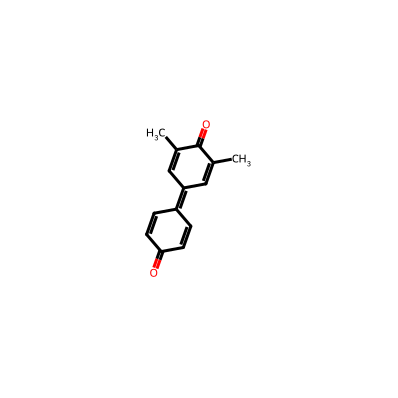 CC1=CC(=C2C=CC(=O)C=C2)C=C(C)C1=O